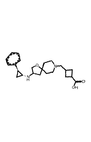 O=C(O)C1CC(CN2CCC3(CC2)CC(N[C@@H]2C[C@H]2c2ccccc2)CO3)C1